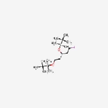 CC(C)(C)[Si](C)(C)OCC[C@@H](CCI)O[Si](C)(C)C(C)(C)C